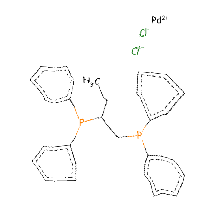 CCC(CP(c1ccccc1)c1ccccc1)P(c1ccccc1)c1ccccc1.[Cl-].[Cl-].[Pd+2]